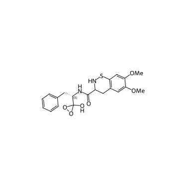 COc1cc2c(cc1OC)SNC(C(=O)N[C@@H](Cc1ccccc1)C1(O)OO1)C2